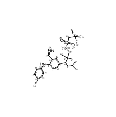 CC(C)CC(c1ccc(Nc2ccc(F)cc2)c(C=N)c1)C(C)(C)CNS(=O)(=O)CC(F)(F)F